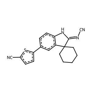 N#C/N=C1\Nc2ccc(-c3ccc(C#N)s3)cc2C12CCCCC2